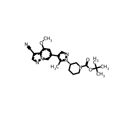 COc1cc(-c2cnn([C@@H]3CCCN(C(=O)OC(C)(C)C)C3)c2C)cn2ncc(C#N)c12